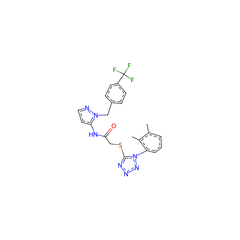 Cc1cccc(-n2nnnc2SCC(=O)Nc2ccnn2Cc2ccc(C(F)(F)F)cc2)c1C